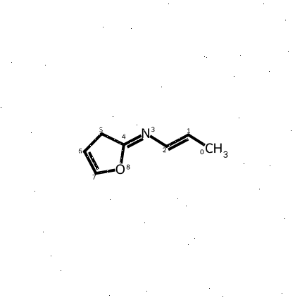 CC=CN=C1CC=CO1